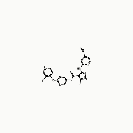 Cc1nsc(Nc2cc(C#N)ccn2)c1C(=O)Nc1ccc(Oc2ccc(F)cc2F)nc1